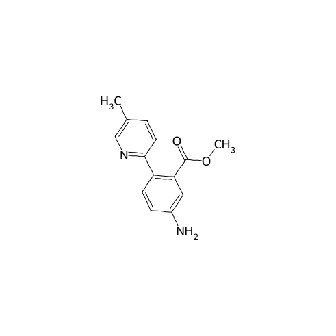 COC(=O)c1cc(N)ccc1-c1ccc(C)cn1